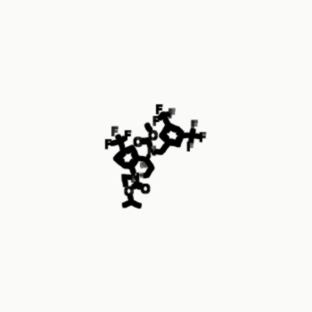 CC[N+]1(C(=O)OC(C)C)CC[C@H](N(Cc2cc(C(F)(F)F)cc(C(F)(F)F)c2)C(=O)OC)c2cc(C(F)(F)F)ccc21